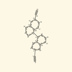 C#Cc1ccc2c(-c3cccc4cc(C#C)ccc34)cccc2c1